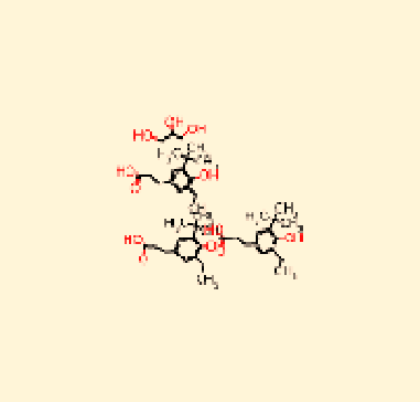 CCc1cc(CCC(=O)O)cc(C(C)(C)C)c1O.CCc1cc(CCC(=O)O)cc(C(C)(C)C)c1O.CCc1cc(CCC(=O)O)cc(C(C)(C)C)c1O.OCC(O)CO